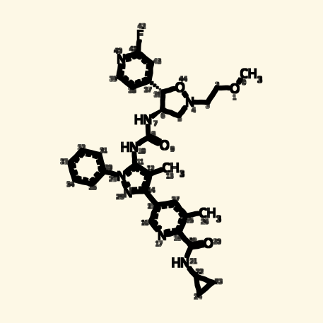 COCCN1C[C@@H](NC(=O)Nc2c(C)c(-c3cnc(C(=O)NC4CC4)c(C)c3)nn2-c2ccccc2)[C@H](c2ccnc(F)c2)O1